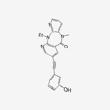 CCN1c2ncc(C#Cc3cccc(O)c3)cc2C(=O)N(C)c2cccnc21